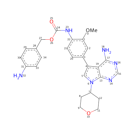 COc1cc(-c2cn(C3CCOCC3)c3ncnc(N)c23)ccc1NC(=O)OCc1ccc(N)cc1